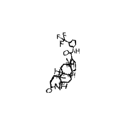 CN1C(=O)C=C[C@]2(C)[C@H]3CC[C@]4(C)C(C(=O)Nc5cccc(C(F)(F)F)c5)CC[C@H]4[C@@H]3CC[C@@H]12